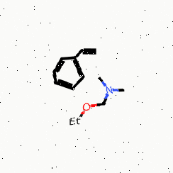 C=Cc1ccccc1.CCOCN(C)C